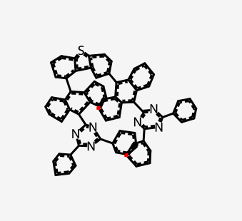 c1ccc(-c2nc(-c3ccccc3)nc(-c3c4ccccc4c(-c4ccc5sc6cccc(-c7c8ccccc8c(-c8nc(-c9ccccc9)nc(-c9ccccc9)n8)c8ccccc78)c6c5c4)c4ccccc34)n2)cc1